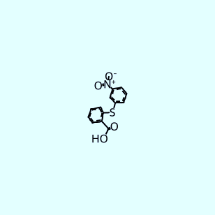 O=C(O)c1ccccc1Sc1cccc([N+](=O)[O-])c1